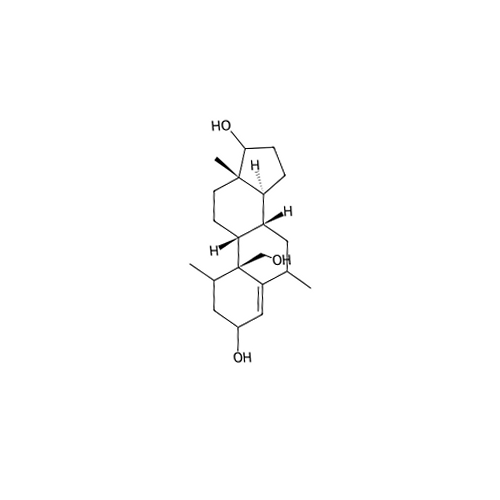 CC1C[C@@H]2[C@@H](CC[C@]3(C)C(O)CC[C@@H]23)[C@]2(CO)C1=CC(O)CC2C